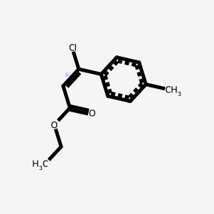 CCOC(=O)/C=C(/Cl)c1ccc(C)cc1